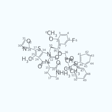 COc1ccc(F)cc1[C@H](Cn1c(=O)n(C2CCCNC2=O)c(=O)c2c(C)c(-c3ncco3)sc21)OCCO[Si](c1ccccc1)(c1ccccc1)C(C)(C)C